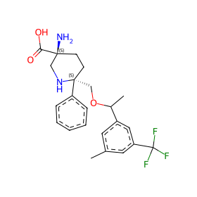 Cc1cc(C(C)OC[C@@]2(c3ccccc3)CC[C@@](N)(C(=O)O)CN2)cc(C(F)(F)F)c1